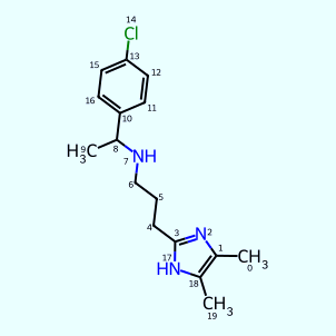 Cc1nc(CCCNC(C)c2ccc(Cl)cc2)[nH]c1C